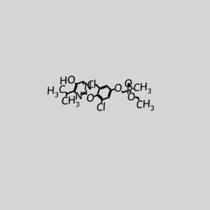 CCOP(C)(=O)COc1cc(Cl)c(Oc2ncc(O)c(C(C)C)n2)c(Cl)c1